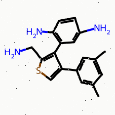 Cc1cc(C)cc(-c2csc(CN)c2-c2cc(N)ccc2N)c1